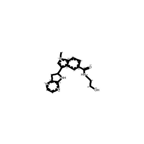 Cn1cc(C2Cc3nccnc3N2)c2cc(C(=O)NCCO)ccc21